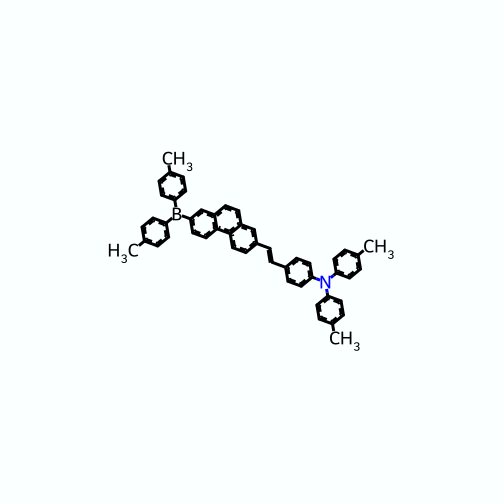 Cc1ccc(B(c2ccc(C)cc2)c2ccc3c(ccc4cc(/C=C/c5ccc(N(c6ccc(C)cc6)c6ccc(C)cc6)cc5)ccc43)c2)cc1